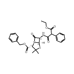 CC1(C)S[C@@H]2[C@H](NC(=O)C(C(=O)OCI)c3ccccc3)C(=O)N2[C@H]1C(=O)OCc1ccccc1